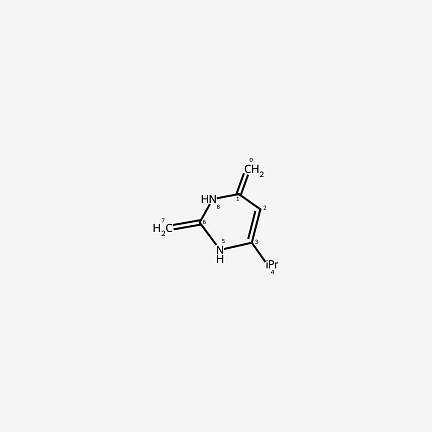 C=C1C=C(C(C)C)NC(=C)N1